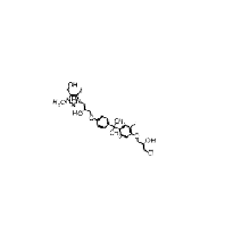 CN1NN(C[C@@H](O)COc2ccc(C(C)(C)c3ccc(OC[C@H](O)CCl)c(I)c3)cc2)C(I)=C1CO